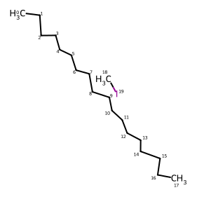 CCCCCCCCCCCCCCCCCC.CI